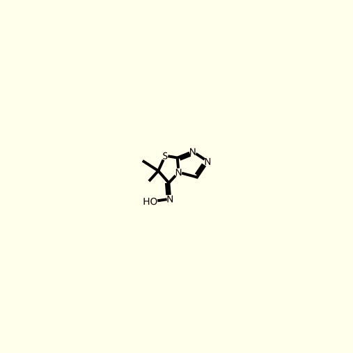 CC1(C)Sc2nncn2C1=NO